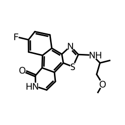 COCC(C)Nc1nc2c3ccc(F)cc3c3c(=O)[nH]ccc3c2s1